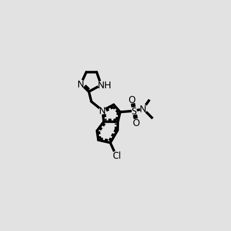 CN(C)S(=O)(=O)c1cn(CC2=NCCN2)c2ccc(Cl)cc12